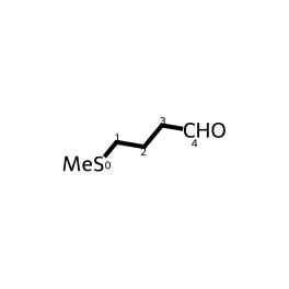 CSCCCC=O